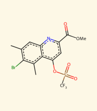 COC(=O)c1cc(OS(=O)(=O)C(F)(F)F)c2c(C)c(Br)c(C)cc2n1